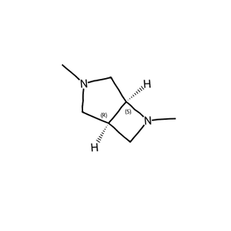 CN1C[C@@H]2CN(C)[C@@H]2C1